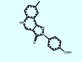 COc1ccc(-n2nc3c4cc(C)ccc4[nH]cc-3c2=O)cc1